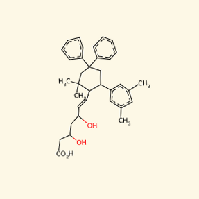 Cc1cc(C)cc(C2CC(c3ccccc3)(c3ccccc3)CC(C)(C)C2C=CC(O)CC(O)CC(=O)O)c1